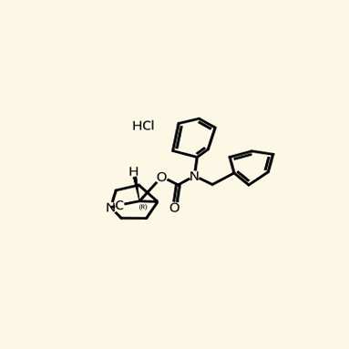 Cl.O=C(O[C@H]1CN2CCC1CC2)N(Cc1ccccc1)c1ccccc1